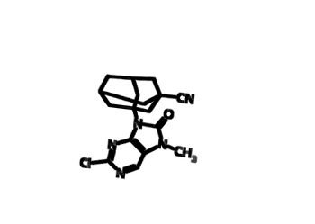 Cn1c(=O)n(C23CC4CC(CC(C#N)(C4)C2)C3)c2nc(Cl)ncc21